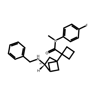 CN(C(=O)C1(C23CC(C2)[C@H](NCc2ccccc2)C3)CCC1)c1ccc(F)cc1